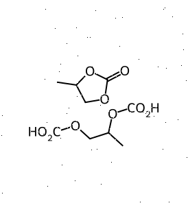 CC(COC(=O)O)OC(=O)O.CC1COC(=O)O1